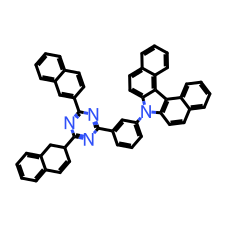 C1=CC(c2nc(-c3cccc(-n4c5ccc6ccccc6c5c5c6ccccc6ccc54)c3)nc(-c3ccc4ccccc4c3)n2)Cc2ccccc21